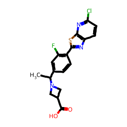 CC(c1ccc(-c2nc3ccc(Cl)nc3s2)c(F)c1)N1CC(C(=O)O)C1